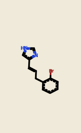 Brc1ccccc1CC=Cc1c[nH]cn1